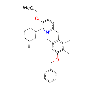 C=C1CCCC(c2nc(Cc3c(C)cc(OCc4ccccc4)c(C)c3C)ccc2OCOC)C1